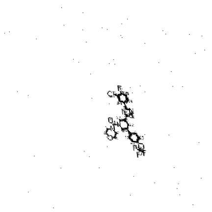 O=C(N1CCOCC1)N1CC(c2ccc(OC(F)(F)F)cc2)CC(c2nc(-c3ccc(F)c(Cl)c3)no2)C1